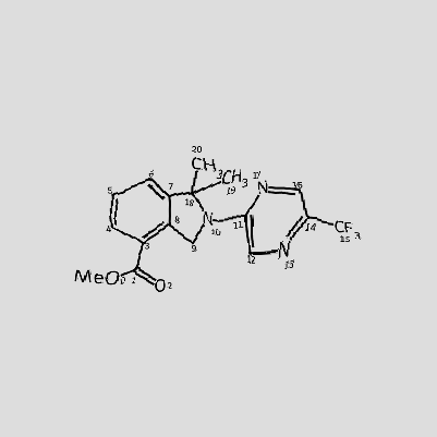 COC(=O)c1cccc2c1CN(c1cnc(C(F)(F)F)cn1)C2(C)C